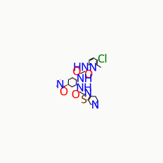 Cc1nc(NC(=O)C(=O)N[C@H]2CC[C@H](C(=O)N(C)C)C[C@H]2NC(=O)c2nc3c(s2)CN(C)CC3)ccc1Cl